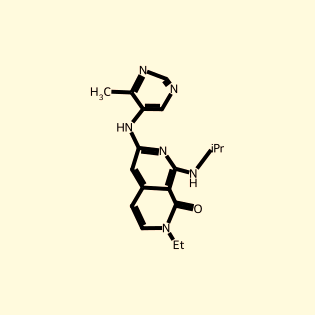 CCn1ccc2cc(Nc3cncnc3C)nc(NC(C)C)c2c1=O